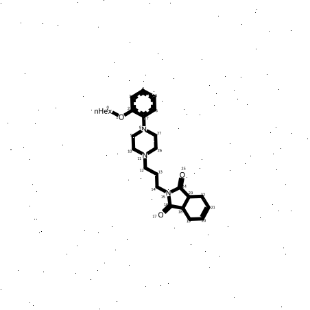 CCCCCCOc1ccccc1N1CCN(CCCN2C(=O)C3CC=CCC3C2=O)CC1